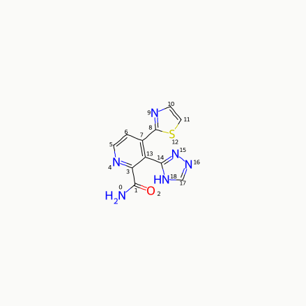 NC(=O)c1nccc(-c2nccs2)c1-c1nnc[nH]1